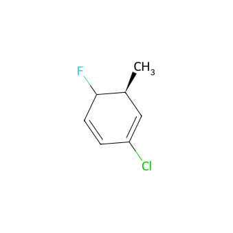 C[C@H]1C=C(Cl)C=CC1F